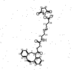 O=C(CCC(=O)N1Cc2ccccc2C#Cc2ccccc21)NCCSSCCC(=O)ON1C(=O)CCC1=O